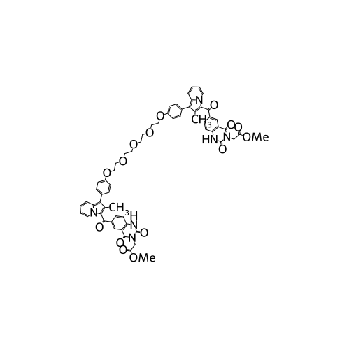 COC(=O)Cn1c(=O)[nH]c2ccc(C(=O)c3c(C)c(-c4ccc(OCCOCCOCCOCCOc5ccc(-c6c(C)c(C(=O)c7ccc8[nH]c(=O)n(CC(=O)OC)c(=O)c8c7)n7ccccc67)cc5)cc4)c4ccccn34)cc2c1=O